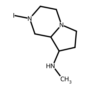 CNC1CCN2CCN(I)CC12